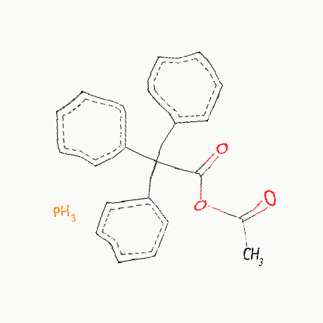 CC(=O)OC(=O)C(c1ccccc1)(c1ccccc1)c1ccccc1.P